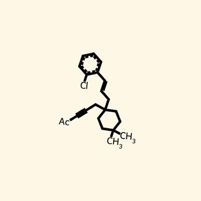 CC(=O)C#CCC1(C/C=C/c2ccccc2Cl)CCC(C)(C)CC1